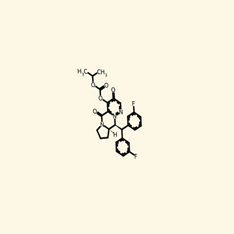 CC(C)OC(=O)Oc1c2n(ncc1=O)[C@@H](C(c1cccc(F)c1)c1cccc(F)c1)[C@H]1CCCN1C2=O